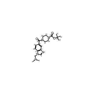 CN(C)Cn1cnc2cc(C(=O)N3CCN(C(=O)OC(C)(C)C)CC3)ccc21